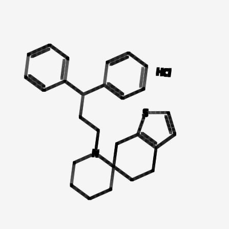 Cl.c1ccc(C(CCN2CCCCC23CCc2ccsc2C3)c2ccccc2)cc1